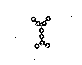 c1ccc(-c2ccc3c(c2)c2cc(-c4ccccc4)ccc2n3-c2ccc(-c3ccc(-c4cc(-c5ccccc5)nc(-c5ccccc5)c4)cc3)cc2)cc1